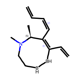 C=C/C=C\C1=C(/C=C)BBCCN(C)[C@H]1C